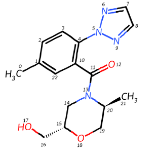 Cc1ccc(-n2nccn2)c(C(=O)N2C[C@@H](CO)OC[C@@H]2C)c1